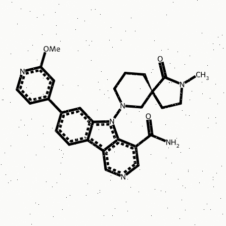 COc1cc(-c2ccc3c4cncc(C(N)=O)c4n(N4CCC[C@@]5(CCN(C)C5=O)C4)c3c2)ccn1